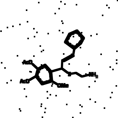 COc1cc(OC(C)=O)c(OC(C)=O)cc1C(/C=C/c1ccccc1)SCCN